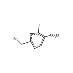 CCOC(=O)c1ccc(CBr)cc1C